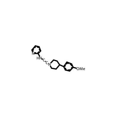 COc1ccc(C2CCN(CCNc3ccccn3)CC2)cc1